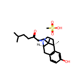 CC(C)CCC(=O)CCC1(C)[C@H]2Cc3ccc(O)cc3[C@]1(C)CCN2C.CS(=O)(=O)O